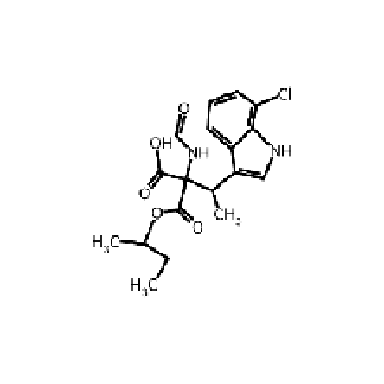 CCC(C)OC(=O)C(NC=O)(C(=O)O)C(C)c1c[nH]c2c(Cl)cccc12